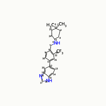 CC1(C)CCC(NCc2ccc(-c3ccc4[nH]cnc4c3)cc2C(F)(F)F)CC1